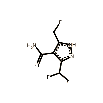 NC(=O)c1c(C(F)F)n[nH]c1CF